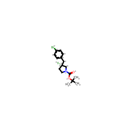 CC(C)(C)OC(=O)N1CC[C@@](F)(Cc2ccc(Br)cc2)C1